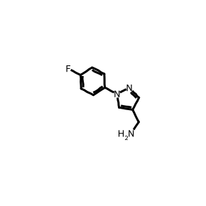 NCc1cnn(-c2ccc(F)cc2)c1